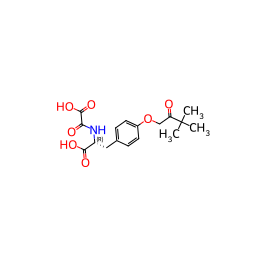 CC(C)(C)C(=O)COc1ccc(C[C@@H](NC(=O)C(=O)O)C(=O)O)cc1